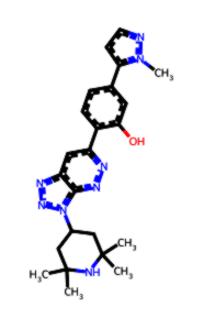 Cn1nccc1-c1ccc(-c2cc3nnn(C4CC(C)(C)NC(C)(C)C4)c3nn2)c(O)c1